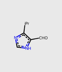 CC(C)c1nc[nH]c1C=O